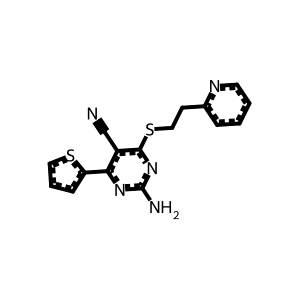 N#Cc1c(SCCc2ccccn2)nc(N)nc1-c1cccs1